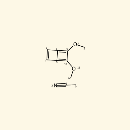 CC#N.COc1c2ccc-2c1OC